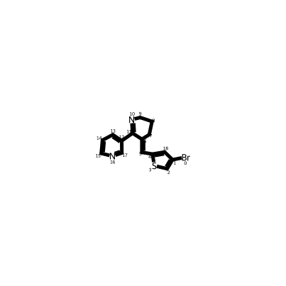 Brc1csc(C=C2CCCN=C2c2cccnc2)c1